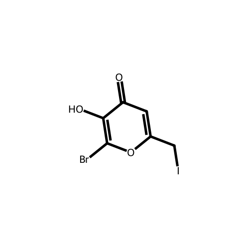 O=c1cc(CI)oc(Br)c1O